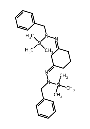 C[Si](C)(C)N(Cc1ccccc1)/N=C1/CCC/C(=N\N(Cc2ccccc2)[Si](C)(C)C)C1